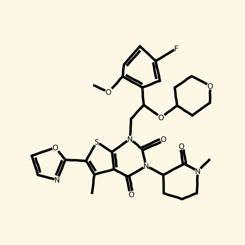 COc1ccc(F)cc1C(Cn1c(=O)n(C2CCCN(C)C2=O)c(=O)c2c(C)c(-c3ncco3)sc21)OC1CCOCC1